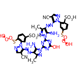 Cc1nn(-c2nc(O)nc(-n3nc(C)c(N=Nc4c(C#N)cnn4-c4cc(SOOO)ccc4S(=O)(=O)O)c3N)n2)c(N)c1N=Nc1c(C#N)cnn1-c1cc(S(=O)(=O)O)ccc1SOOO